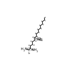 CCCCCCCCCCCCCCC[C@H](N)[C@H](C)N.Cl.Cl